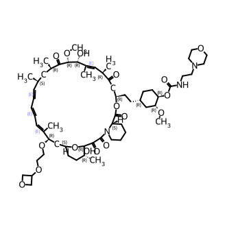 CO[C@@H]1C[C@H](CC[C@@H]2CC(=O)[C@H](C)/C=C(\C)[C@@H](O)[C@@H](OC)C(=O)[C@H](C)C[C@H](C)/C=C/C=C/C=C(\C)[C@H](OCCOC3COC3)C[C@@H]3CC[C@@H](C)[C@@](O)(O3)C(=O)C(=O)N3CCCC[C@H]3C(=O)O2)CC[C@H]1OC(=O)NCCN1CCOCC1